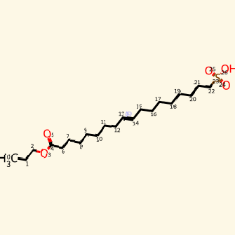 CCCOC(=O)CCCCCCC/C=C/CCCCCCCCS(=O)(=O)O